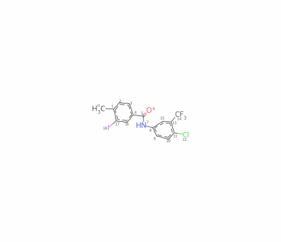 Cc1ccc(C(=O)Nc2ccc(Cl)c(C(F)(F)F)c2)cc1I